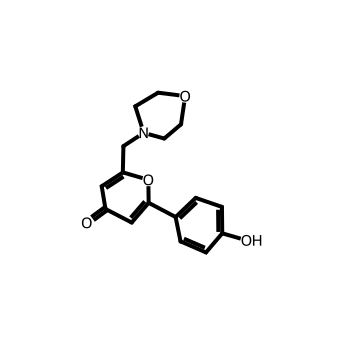 O=c1cc(CN2CCOCC2)oc(-c2ccc(O)cc2)c1